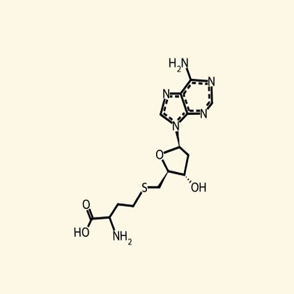 Nc1ncnc2c1ncn2[C@H]1C[C@H](O)[C@@H](CSCCC(N)C(=O)O)O1